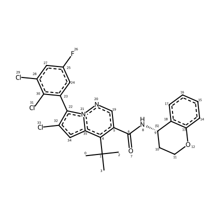 CC(C)(C)c1c(C(=O)N[C@H]2CCOc3ccccc32)cnn2c(-c3cc(F)cc(Cl)c3Cl)c(Cl)cc12